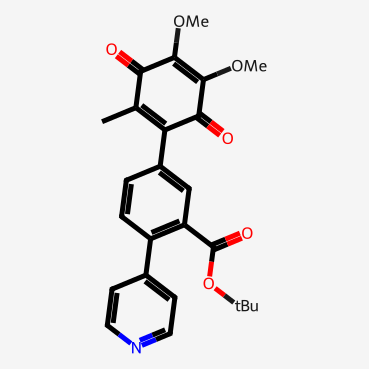 COC1=C(OC)C(=O)C(c2ccc(-c3ccncc3)c(C(=O)OC(C)(C)C)c2)=C(C)C1=O